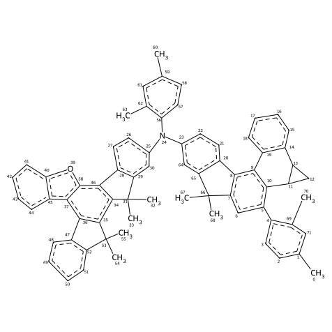 Cc1ccc(-c2cc3c(c4c2C2CC2c2ccccc2-4)-c2ccc(N(c4ccc5c(c4)C(C)(C)c4c6c(c7c(oc8ccccc87)c4-5)-c4ccccc4C6(C)C)c4ccc(C)cc4C)cc2C3(C)C)c(C)c1